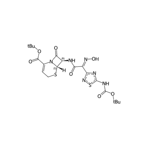 CC(C)(C)OC(=O)Nc1nc(C(=NO)C(=O)N[C@@H]2C(=O)N3C(C(=O)OC(C)(C)C)=CCS[C@@H]23)ns1